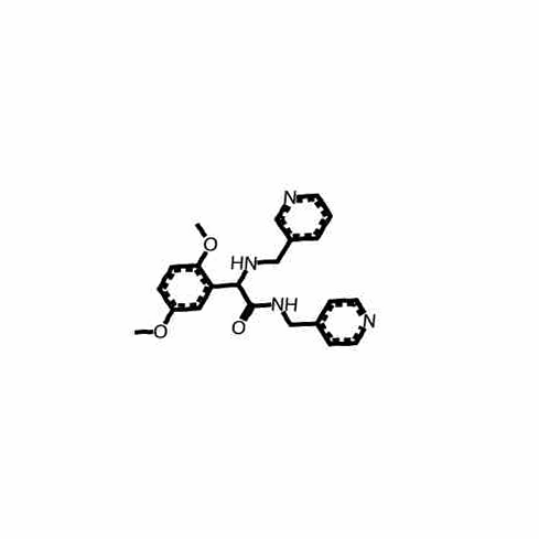 COc1ccc(OC)c(C(NCc2cccnc2)C(=O)NCc2ccncc2)c1